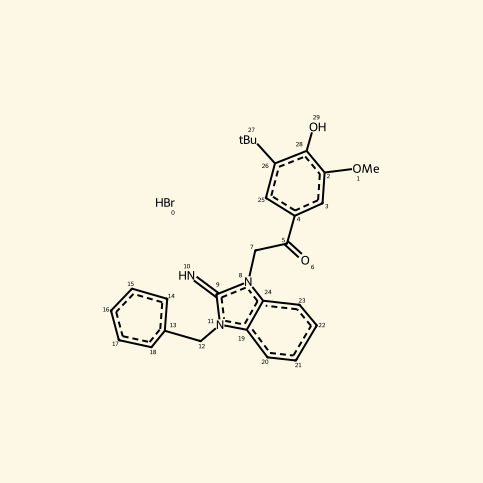 Br.COc1cc(C(=O)Cn2c(=N)n(Cc3ccccc3)c3ccccc32)cc(C(C)(C)C)c1O